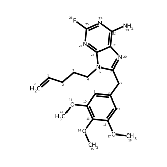 C=CCCCn1c(Cc2cc(OC)c(OC)c(OC)c2)nc2c(N)nc(F)nc21